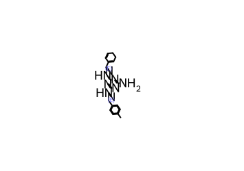 Cc1ccc(/C=N/Nc2nc(N)nc(N/N=C/C3=CCCC=C3)n2)cc1